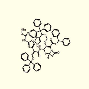 CC(C)(C)OC(=O)Nc1nc(/C(=N/OC(c2ccccc2)(c2ccccc2)c2ccccc2)C(=O)NC2S[C@H]3CC(=O)N3C(C(=O)OC(c3ccccc3)c3ccccc3)=C2SCSC(c2c[nH]nn2)C(c2ccccc2)(c2ccccc2)c2ccccc2)cs1